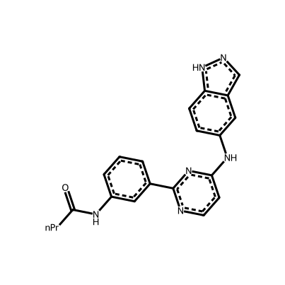 CCCC(=O)Nc1cccc(-c2nccc(Nc3ccc4[nH]ncc4c3)n2)c1